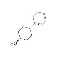 O[C@H]1CC[C@H](C2=CC=CCC2)CC1